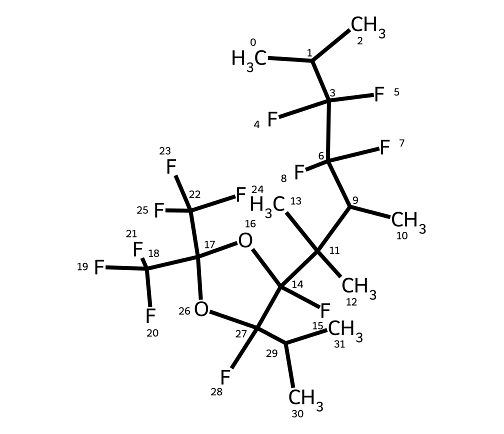 CC(C)C(F)(F)C(F)(F)C(C)C(C)(C)C1(F)OC(C(F)(F)F)(C(F)(F)F)OC1(F)C(C)C